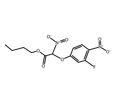 CCCCOC(=O)C(Oc1ccc([N+](=O)[O-])c(F)c1)[N+](=O)[O-]